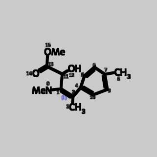 CN/C(=C(\C)c1ccc(C)cc1)C(O)C(=O)OC